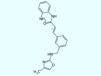 Cc1coc(NCc2cccc(/C=C/C(=O)Nc3ccccc3N)c2)n1